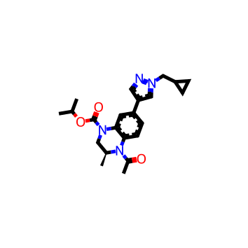 CC(=O)N1c2ccc(-c3cnn(CC4CC4)c3)cc2N(C(=O)OC(C)C)C[C@@H]1C